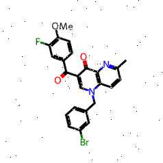 COc1ccc(C(=O)c2cn(Cc3cccc(Br)c3)c3ccc(C)nc3c2=O)cc1F